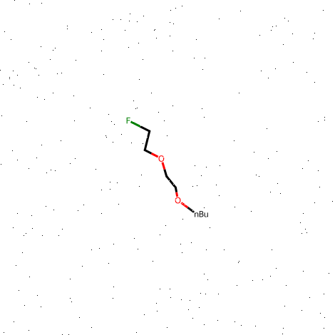 CCCCOCCOCCF